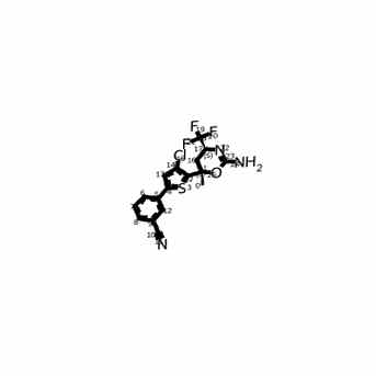 C[C@@]1(c2sc(-c3cccc(C#N)c3)cc2Cl)C[C@@H](C(F)(F)F)N=C(N)O1